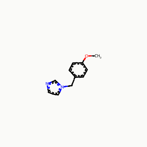 COc1ccc(Cn2c[c]nc2)cc1